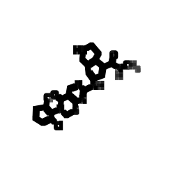 CNC(=O)c1cc(Nc2ncc3c(n2)SCN(c2c(Cl)cccc2Cl)C3=O)cc2c1CCNC2